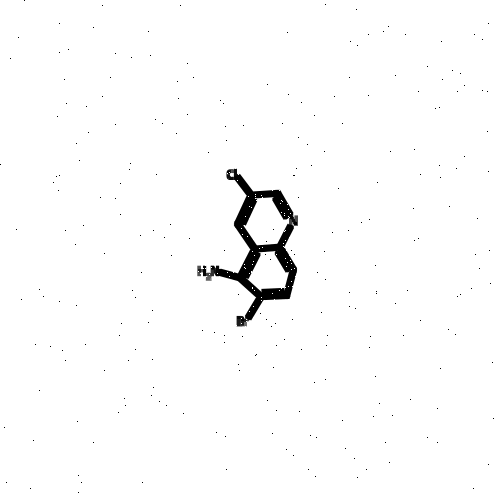 Nc1c(Br)ccc2ncc(Cl)cc12